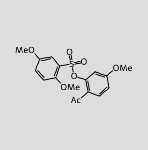 COc1ccc(C(C)=O)c(OS(=O)(=O)c2cc(OC)ccc2OC)c1